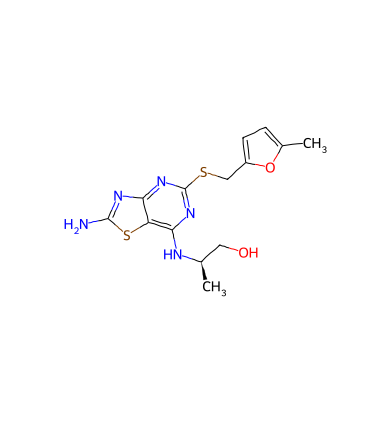 Cc1ccc(CSc2nc(N[C@H](C)CO)c3sc(N)nc3n2)o1